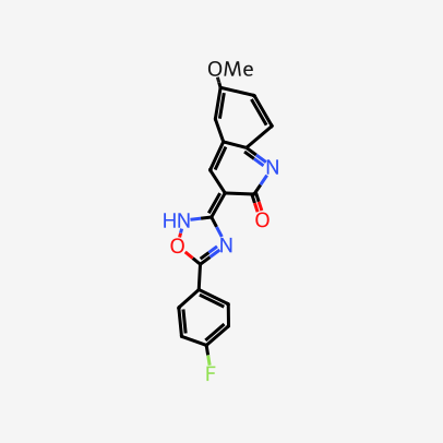 COc1ccc2c(c1)=CC(=C1N=C(c3ccc(F)cc3)ON1)C(=O)N=2